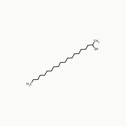 CCCCCCCCCCCCCCCCCCC(C)S